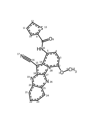 COc1ccc(NC(=O)c2cccs2)c2c(C#N)c3nc4ccccc4nc3n12